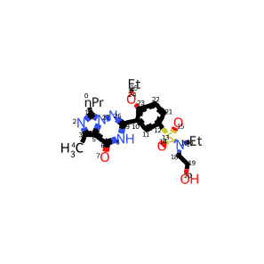 CCCc1nc(C)c2c(=O)[nH]c(-c3cc(S(=O)(=O)N(CC)CCO)ccc3OCC)nn12